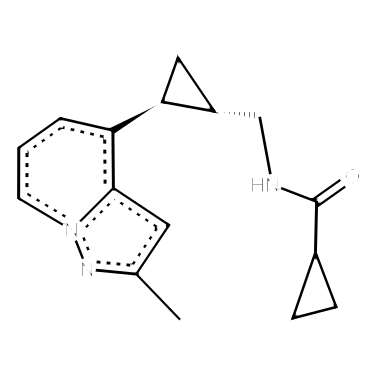 Cc1cc2c([C@H]3C[C@@H]3CNC(=O)C3CC3)cccn2n1